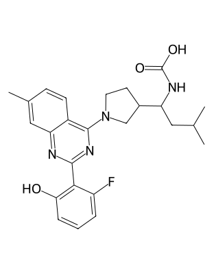 Cc1ccc2c(N3CCC(C(CC(C)C)NC(=O)O)C3)nc(-c3c(O)cccc3F)nc2c1